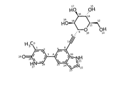 Cc1cc(-c2cc(C#C[C@H]3O[C@H](CO)[C@@H](O)[C@H](O)[C@@H]3O)c3[nH]ncc3c2)c[nH]c1=O